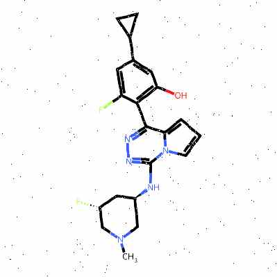 CN1C[C@H](F)C[C@@H](Nc2nnc(-c3c(O)cc(C4CC4)cc3F)c3cccn23)C1